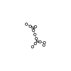 c1ccc(-c2ccc(N(c3ccc(-c4ccc(-c5ccc6c(c5)c5ccccc5n6-c5ccc(-c6ccccc6)cc5)cc4)cc3)c3ccc(-c4cccc5ccccc45)cc3)cc2)cc1